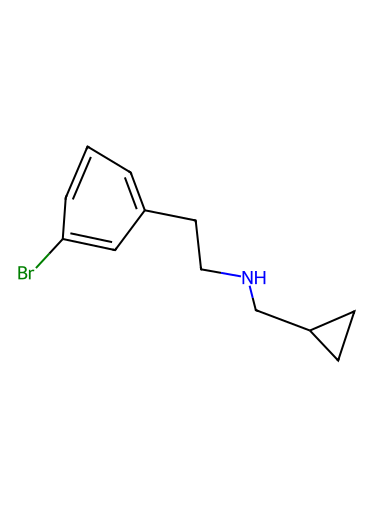 Brc1cccc(CCNCC2CC2)c1